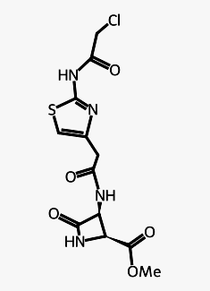 COC(=O)[C@H]1NC(=O)[C@H]1NC(=O)Cc1csc(NC(=O)CCl)n1